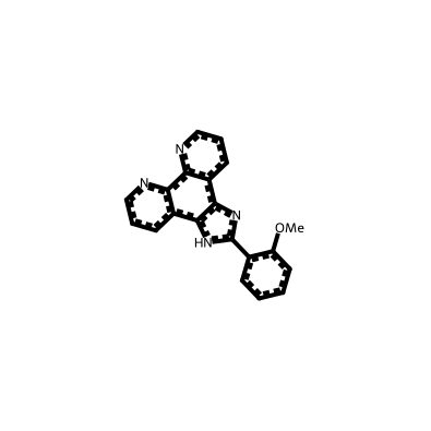 COc1ccccc1-c1nc2c3cccnc3c3ncccc3c2[nH]1